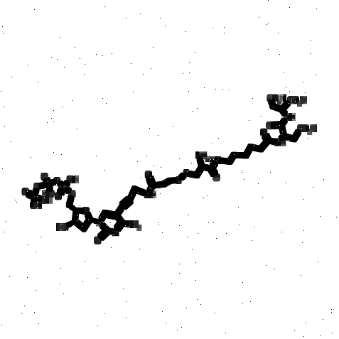 Nc1nc(=O)n([C@H]2C[C@@H](O)[C@@H](COP(=O)(O)OP(=O)(O)OP(=O)(O)O)O2)cc1C#CCNC(=O)CCSSCC(N)C(=O)NCCCCCC(=O)NC(CC(=O)O)C(=O)NC(CC(=O)O)C(=O)O